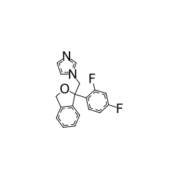 Fc1ccc(C2(Cn3ccnc3)OCc3ccccc32)c(F)c1